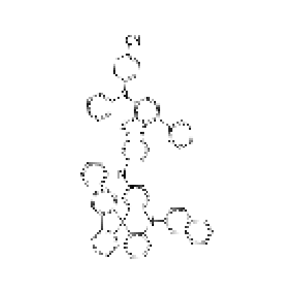 N#CC1=CC=C(N(c2ccccc2)c2ccc(-c3ccccc3)c3c2sc2cc(N(c4ccccc4)c4ccc5c(c4)C4(c6ccccc6-c6ccccc64)c4ccccc4N5c4ccc5ccccc5c4)ccc23)CC1